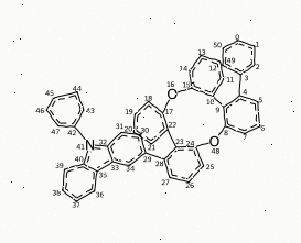 c1ccc(-c2cccc3c2-c2ccccc2Oc2ccccc2-c2c(cccc2-c2ccc4c(c2)c2ccccc2n4-c2ccccc2)O3)cc1